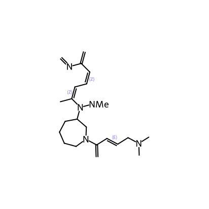 C=NC(=C)/C=C\C=C(\C)N(NC)C1CCCCN(C(=C)/C=C/CN(C)C)C1